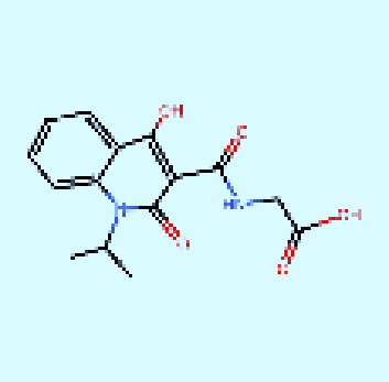 CC(C)n1c(=O)c(C(=O)NCC(=O)O)c(O)c2ccccc21